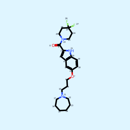 O=C(c1cc2cc(OCCCN3CCCCCC3)ccc2[nH]1)N1CCC(F)(F)CC1